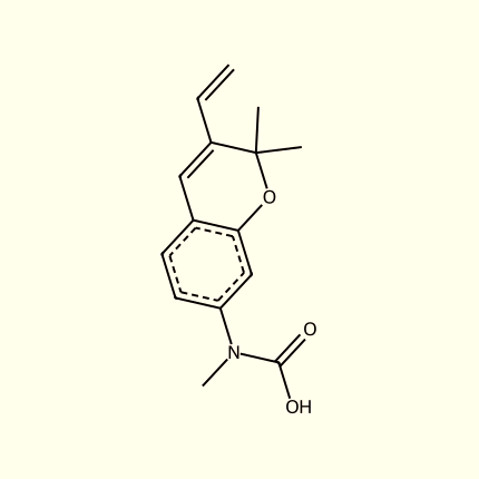 C=CC1=Cc2ccc(N(C)C(=O)O)cc2OC1(C)C